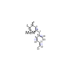 C=C(C)C(=C)/C=C(/CC(/C=C\C=C/C)=C/C)NC